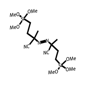 CO[Si](CCC(C)(C#N)N=NC(C)(C#N)CC[Si](OC)(OC)OC)(OC)OC